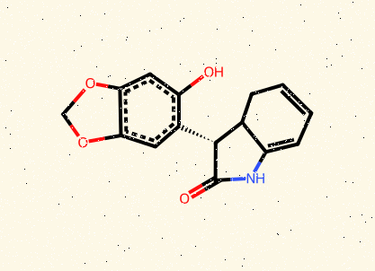 O=C1NC2=CC=CCC2[C@H]1c1cc2c(cc1O)OCO2